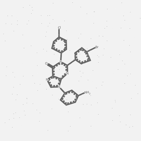 Nc1cccc(-n2cnc3c(=O)n(-c4ccc(Cl)cc4)c(-c4ccc(Br)cc4)nc32)c1